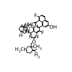 C#Cc1c(F)ccc2cc(O)cc(-c3nc(OC)c4c(N5C[C@H]6CC[C@@H](C5)N6)nc(OC[C@]5(C)CN(C)CCC5=C)nc4c3F)c12